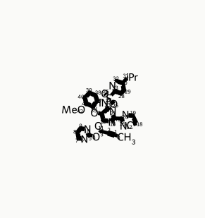 CC#CC(Oc1ncccn1)Oc1nc(-c2ncccn2)nc(NS(=O)(=O)c2ccc(C(C)C)cn2)c1Oc1ccccc1OC